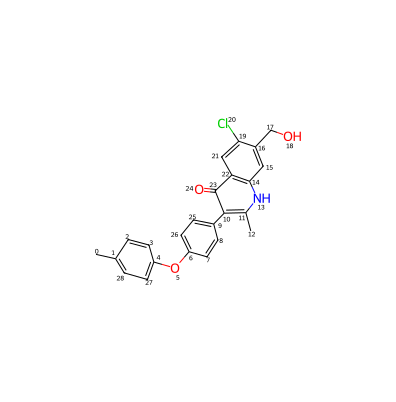 Cc1ccc(Oc2ccc(-c3c(C)[nH]c4cc(CO)c(Cl)cc4c3=O)cc2)cc1